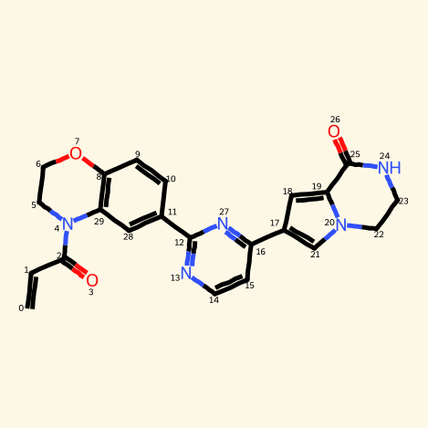 C=CC(=O)N1CCOc2ccc(-c3nccc(-c4cc5n(c4)CCNC5=O)n3)cc21